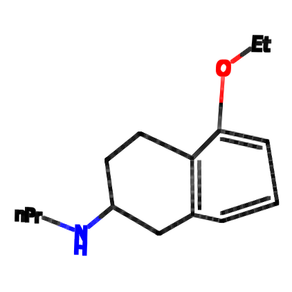 CCCNC1CCc2c(cccc2OCC)C1